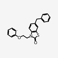 O=c1sc2cc(Cc3ccccc3)ccc2n1CCOc1[c]cccc1